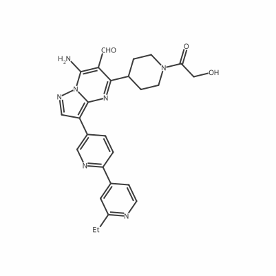 CCc1cc(-c2ccc(-c3cnn4c(N)c(C=O)c(C5CCN(C(=O)CO)CC5)nc34)cn2)ccn1